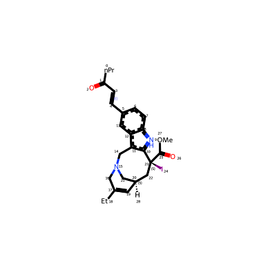 CCCC(=O)/C=C/c1ccc2[nH]c3c(c2c1)CN1CC(CC)=C[C@@H](C1)C[C@@]3(I)C(=O)OC